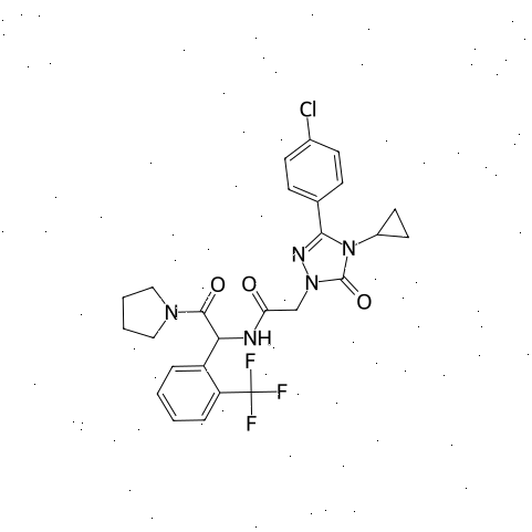 O=C(Cn1nc(-c2ccc(Cl)cc2)n(C2CC2)c1=O)NC(C(=O)N1CCCC1)c1ccccc1C(F)(F)F